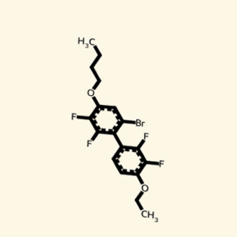 CCCCOc1cc(Br)c(-c2ccc(OCC)c(F)c2F)c(F)c1F